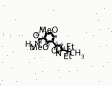 CCC(C)(CC)c1cc(-c2ccc(OC)c(C(N)=O)c2OC)on1